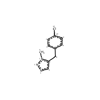 Cn1nncc1Cc1ccc(Cl)cc1